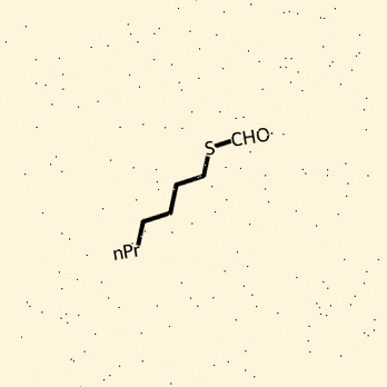 CCCCCCCS[C]=O